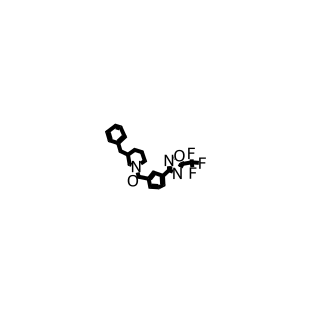 O=C(c1cccc(-c2noc(C(F)(F)F)n2)c1)N1CCCC(Cc2ccccc2)C1